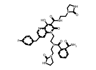 NC(=O)c1ccccc1C(=O)N(CCN1CCNC1=O)CCn1c(=O)c(C(=O)NCCN2CCNC2=O)c(O)c2ncc(Cc3ccc(F)cc3)cc21